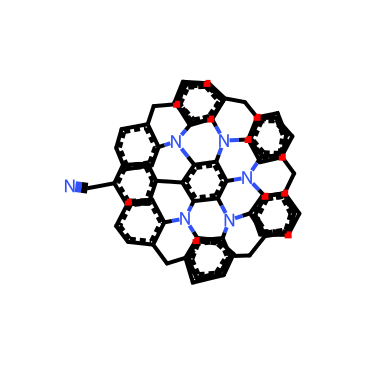 N#Cc1ccc(-c2c(N3c4ccccc4Cc4ccccc43)c(N3c4ccccc4Cc4ccccc43)c(N3c4ccccc4Cc4ccccc43)c(N3c4ccccc4Cc4ccccc43)c2N2c3ccccc3Cc3ccccc32)cc1